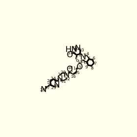 Cc1c(N2Cc3ccccc3[C@@H]2COC/C=C\C(=O)N2CCN(c3ccc(C#N)cn3)CC2)cn[nH]c1=O